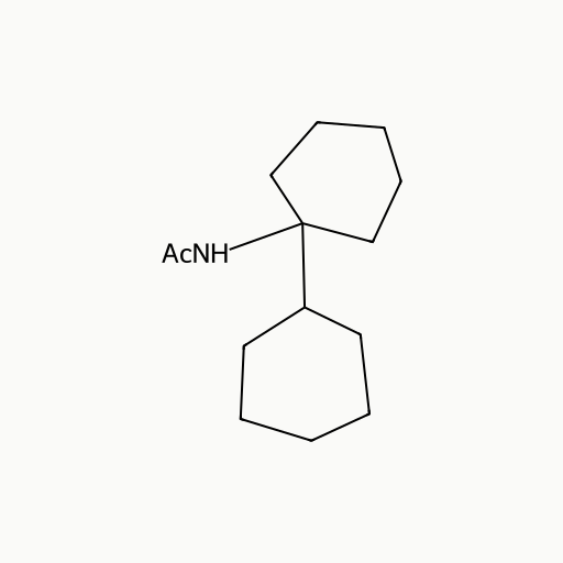 CC(=O)NC1(C2CCCCC2)CCCCC1